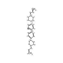 C=CC[C@H]1CC[C@H](c2ccc(-c3ccc([C@H]4CC[C@H](CC=C)CC4)cn3)cc2)CC1